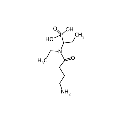 CCC(N(CC)C(=O)CCCN)P(=O)(O)O